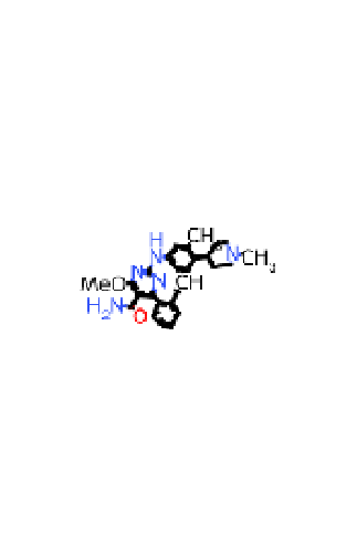 C#Cc1ccccc1-c1nc(Nc2ccc(C3CCN(C)CC3)c(C)c2)nc(OC)c1C(N)=O